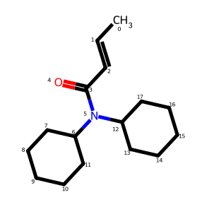 CC=CC(=O)N(C1CCCCC1)C1CCCCC1